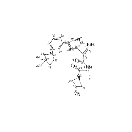 C[C@@H](NC(=O)c1c[nH]c2ncc(-c3cccc(N4CCC(C)(C)C4)c3)nc12)C(=O)N1CC(C#N)C1